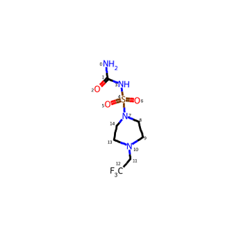 NC(=O)NS(=O)(=O)N1CCN(CC(F)(F)F)CC1